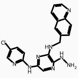 NNc1ncc(Nc2ccc(Cl)cn2)nc1NCc1ccc2ncccc2c1